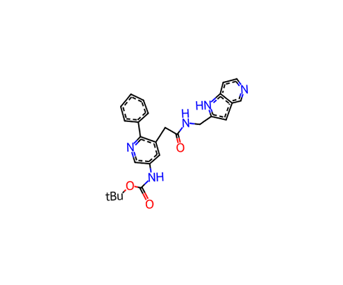 CC(C)(C)OC(=O)Nc1cnc(-c2ccccc2)c(CC(=O)NCc2cc3cnccc3[nH]2)c1